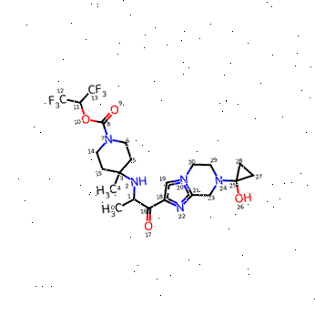 CC(NC1(C)CCN(C(=O)OC(C(F)(F)F)C(F)(F)F)CC1)C(=O)c1cn2c(n1)CN(C1(O)CC1)CC2